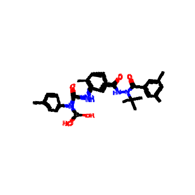 Cc1ccc(N(B(O)O)C(=O)Nc2cc(C(=O)NN(C(=O)c3cc(C)cc(C)c3)C(C)(C)C)ccc2C)cc1